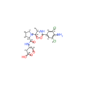 CC(NC(=O)c1cc(Cl)c(N)c(Cl)c1)C(=O)N1CCCC1C(=O)NC(C=O)CC(=O)O